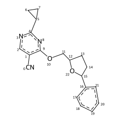 N#Cc1cnc(C2CC2)nc1OCC1CCC(c2ccccc2)O1